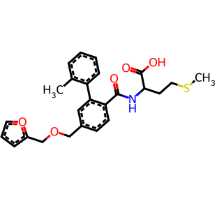 CSCCC(NC(=O)c1ccc(COCc2ccco2)cc1-c1ccccc1C)C(=O)O